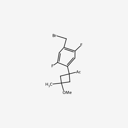 COC1(C)CC(C(C)=O)(c2cc(F)c(CBr)cc2F)C1